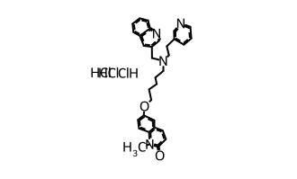 Cl.Cl.Cl.Cn1c(=O)ccc2cc(OCCCCCN(CCc3cccnc3)Cc3cnc4ccccc4c3)ccc21